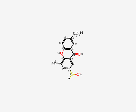 CC(C)c1cc([S+](C)[O-])cc2c(=O)c3cc(C(=O)O)ccc3oc12